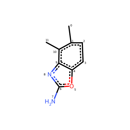 Cc1ccc2oc(N)nc2c1C